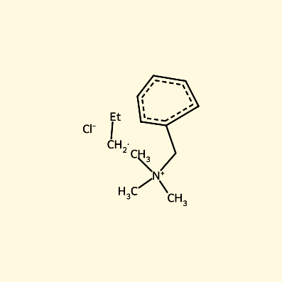 C[N+](C)(C)Cc1ccccc1.[CH2]CC.[Cl-]